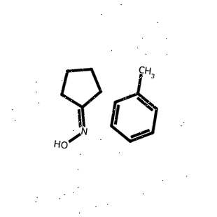 Cc1ccccc1.ON=C1CCCC1